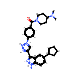 CN(C)C1CCN(C(=O)c2ccc(-n3cc(-c4n[nH]c5ccc(C6CCCC6)cc45)nn3)cc2)CC1